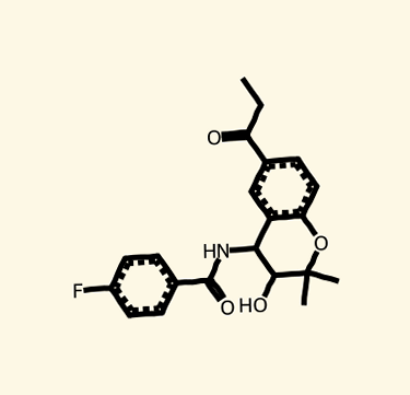 CCC(=O)c1ccc2c(c1)C(NC(=O)c1ccc(F)cc1)C(O)C(C)(C)O2